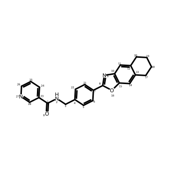 O=C(NCc1ccc(-c2nc3cc4c(cc3o2)CCCC4)cc1)c1cccnc1